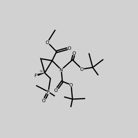 COC(=O)C1(N(C(=O)OC(C)(C)C)C(=O)OC(C)(C)C)C[C@@]1(F)CP(C)(C)=O